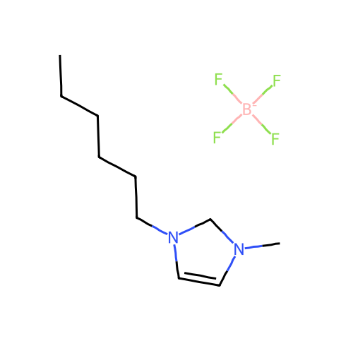 CCCCCCN1C=CN(C)C1.F[B-](F)(F)F